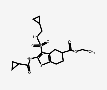 CCOC(=O)C1CCc2sc(NC(=O)C3CC3)c(S(=O)(=O)NCC3CC3)c2C1